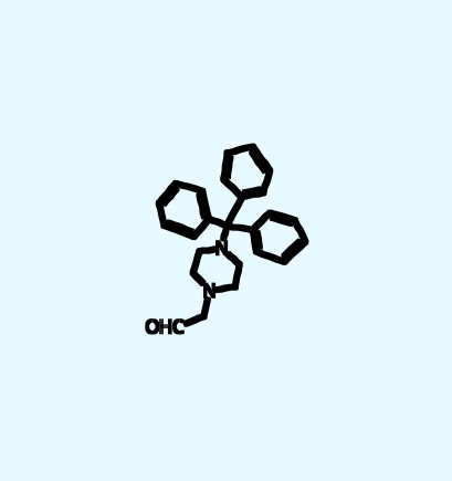 O=CCN1CCN(C(c2ccccc2)(c2ccccc2)c2ccccc2)CC1